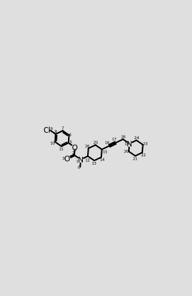 CN(C(=O)Oc1ccc(Cl)cc1)C1CCC(C#CCN2CCCCC2)CC1